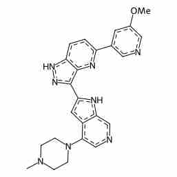 COc1cncc(-c2ccc3[nH]nc(-c4cc5c(N6CCN(C)CC6)cncc5[nH]4)c3n2)c1